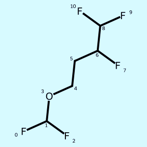 FC(F)OCCC(F)C(F)F